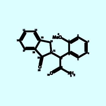 COc1ccccc1C(C(N)=O)N1Cc2ccccc2C1=O